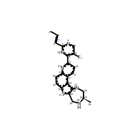 C/C=C/c1ncc(F)c(-c2ccc3c(ccc4sc5c(c43)NC[C@@H](C)NC5)n2)n1